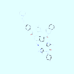 Cc1c(N(C(=O)c2cc(-c3cc4c(cc3C(=O)N3Cc5ccccc5C[C@H]3CN3CCC(C)(C)C3)CN(C(=O)Cc3ccc(OCCN5CCOCC5)cc3F)CC4)n(C)c2C)c2ccc(O)cc2)cc(C#N)n1C